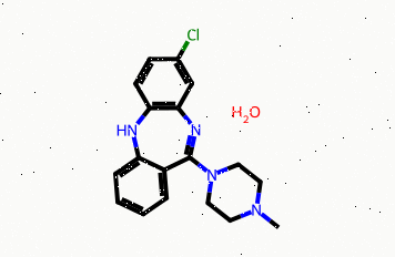 CN1CCN(C2=Nc3cc(Cl)ccc3Nc3ccccc32)CC1.O